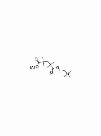 COC(=O)C(C)(C)CC(C)(C)C(=O)OCC[N+](C)(C)C